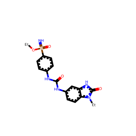 CCOS(=N)(=O)c1ccc(NC(=O)Nc2ccc3c(c2)[nH]c(=O)n3CC)cc1